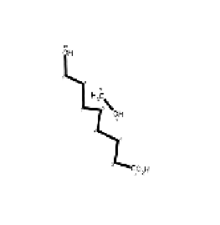 CO.O=C(O)CCCCCCCO